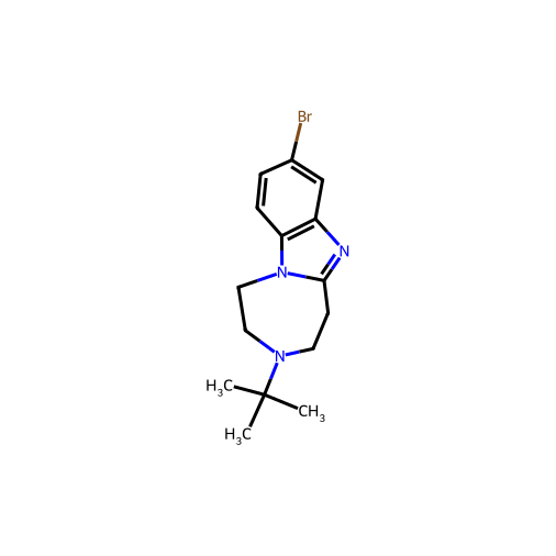 CC(C)(C)N1CCc2nc3cc(Br)ccc3n2CC1